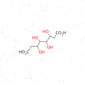 O=C(O)CC(O)C(O)C(O)C(O)CC(=O)O